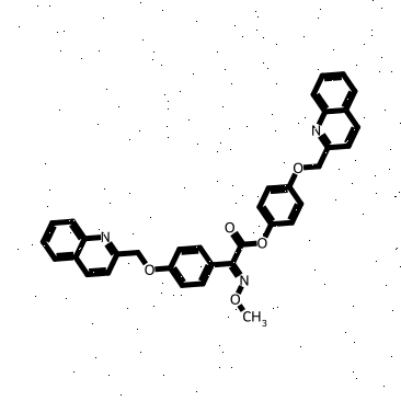 CON=C(C(=O)Oc1ccc(OCc2ccc3ccccc3n2)cc1)c1ccc(OCc2ccc3ccccc3n2)cc1